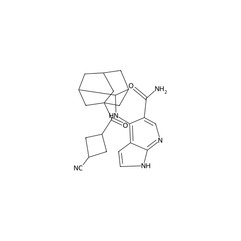 N#CC1CC(C(=O)C23CC4CC(C2)C(Nc2c(C(N)=O)cnc5[nH]ccc25)C(C4)C3)C1